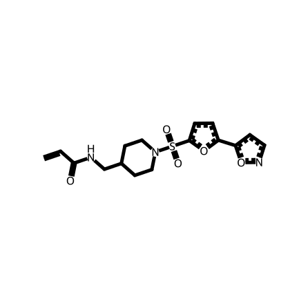 C=CC(=O)NCC1CCN(S(=O)(=O)c2ccc(-c3ccno3)o2)CC1